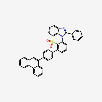 O=S1(=O)c2c(-c3ccc(-c4cc5ccccc5c5ccccc45)cc3)cccc2-n2c(-c3ccccc3)nc3cccc1c32